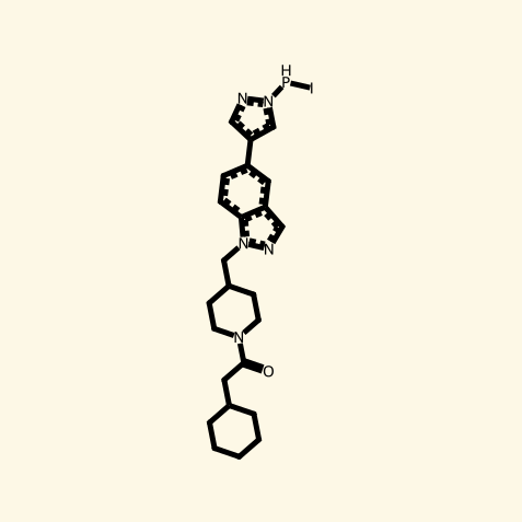 O=C(CC1CCCCC1)N1CCC(Cn2ncc3cc(-c4cnn(PI)c4)ccc32)CC1